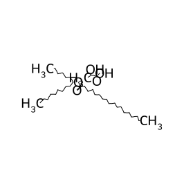 CC(O)C(=O)O.CCCCCCCCCCCCCCCCCC(=O)OC(CCCCCC)CCCCCCCCC